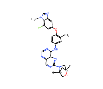 Cc1cc(Nc2ncnc3cnc(N4C[C@H]5C[C@@H]4CO5)nc23)ccc1Oc1cc(F)c2c(c1)ncn2C